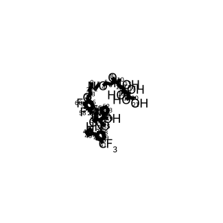 CN(CCOCCC(=O)N(C)C[C@H](O)[C@@H](O)[C@H](O)C(O)CO)CCOc1ccc(CN2C(=O)C(C(=O)NC3C=CC(C(F)(F)F)=CC3C3C=CC3)=C(O)C3(CCCC3)N2C)c(F)c1F